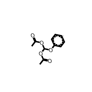 CC(=O)OC(OC(C)=O)Oc1cc[c]cc1